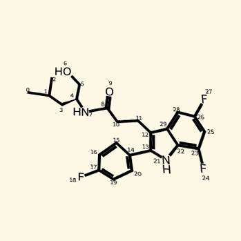 CC(C)C[C@@H](CO)NC(=O)CCc1c(-c2ccc(F)cc2)[nH]c2c(F)cc(F)cc12